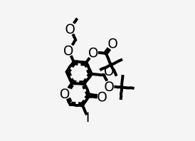 COCOc1cc2occ(I)c(=O)c2c(C(=O)OC(C)(C)C)c1OC(=O)C(C)(C)C